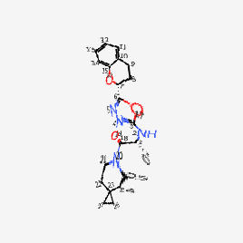 C[C@@H](Nc1nnc([C@H]2CCc3ccccc3O2)o1)C(=O)N1CCC2(CC1)CC2